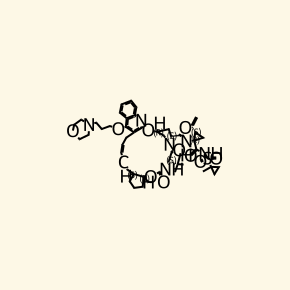 C=C[C@@H]1C[C@]1(NC(=O)[C@@H]1C[C@@H]2CN1C(=O)[C@H](C(C)(C)C)NC(=O)O[C@@H]1CCC[C@H]1CCC=CCc1c(nc3ccccc3c1OCCCN1CCOCC1)O2)C(=O)NS(=O)(=O)C1(C)CC1